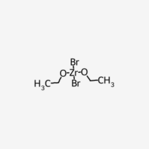 CC[O][Zr]([Br])([Br])[O]CC